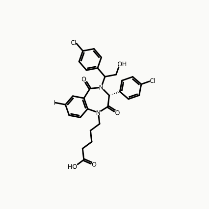 O=C(O)CCCCN1C(=O)[C@@H](c2ccc(Cl)cc2)N(C(CO)c2ccc(Cl)cc2)C(=O)c2cc(I)ccc21